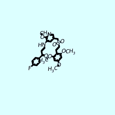 COc1cc(OC)c(/C=C/S(=O)(=O)Cc2cnc(OC)c(N/C=C/C(=O)c3ccc(F)cc3)c2)c(OC)c1